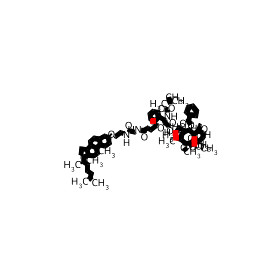 CO[C@H]1C(=O)[C@]2(C)[C@@H](OC)C[C@H]3OC[C@@]3(OC(C)=O)[C@H]2[C@H](OC(=O)c2ccccc2)[C@]2(O)C[C@H](OC(=O)[C@H](OC(=O)CCC(=O)NCC(=O)NCCO[C@H]3CC[C@@]4(C)C(=CCC5C4CC[C@@]4(C)C5CC[C@@H]4[C@H](C)CCCC(C)C)C3)[C@@H](NC(=O)OC(C)(C)C)c3ccccc3)C(C)=C1C2(C)C